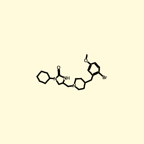 COc1ccc(Br)c(CC2CCN(CC3CN(C4CCCCC4)C(=O)N3)CC2)c1